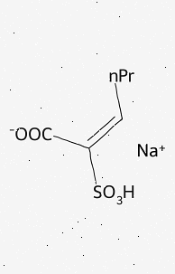 CCC/C=C(\C(=O)[O-])S(=O)(=O)O.[Na+]